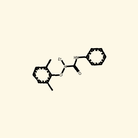 CCN(Oc1c(C)cccc1C)C(=O)Nc1ccccc1